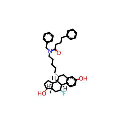 C[C@]12C[C@H](F)[C@@H]3c4ccc(O)cc4C[C@@H](CCCCCN(Cc4ccccc4)C(=O)CCCc4ccccc4)[C@H]3[C@@H]1CC[C@@H]2O